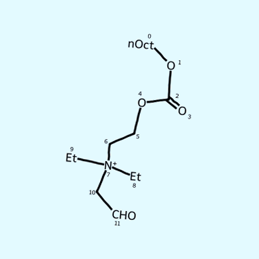 CCCCCCCCOC(=O)OCC[N+](CC)(CC)CC=O